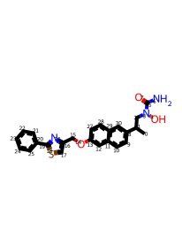 CC(CN(O)C(N)=O)c1ccc2cc(OCc3csc(-c4ccccc4)n3)ccc2c1